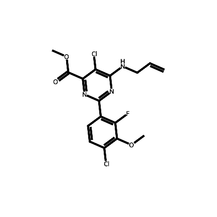 C=CCNc1nc(-c2ccc(Cl)c(OC)c2F)nc(C(=O)OC)c1Cl